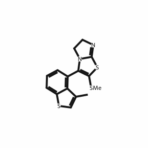 CSC1=C(c2cccc3scc(C)c23)N2CCN=C2S1